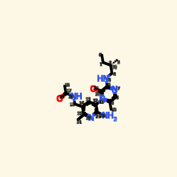 CC[C@H](C)CNc1ncc(C)n(-c2cc(CNC(C)=O)c(C)nc2N)c1=O